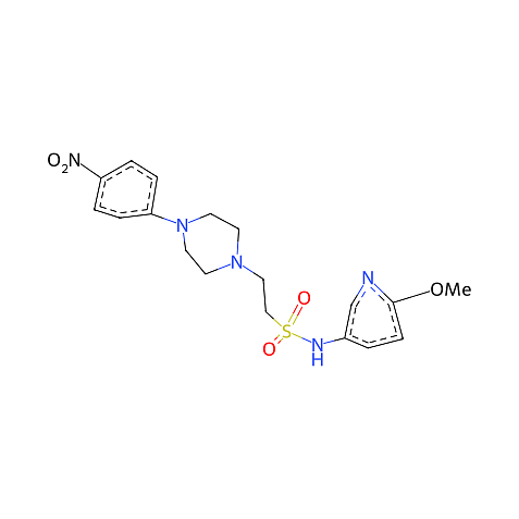 COc1ccc(NS(=O)(=O)CCN2CCN(c3ccc([N+](=O)[O-])cc3)CC2)cn1